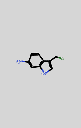 Nc1ccc2c(CCl)c[nH]c2c1